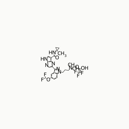 CN(C)CCCn1nc(-c2cnc3[nH]cc(C(=O)NC4(C)CC4)c3n2)c2cc(OC(F)F)ccc21.O=C(O)C(F)(F)F